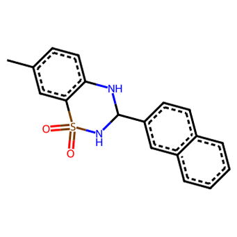 Cc1ccc2c(c1)S(=O)(=O)NC(c1ccc3ccccc3c1)N2